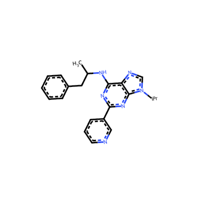 CC(Cc1ccccc1)Nc1nc(-c2cccnc2)nc2c1ncn2C(C)C